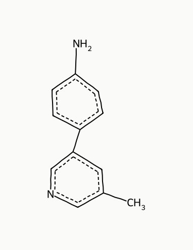 Cc1cncc(-c2ccc(N)cc2)c1